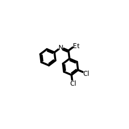 CCC(=Nc1ccccc1)c1ccc(Cl)c(Cl)c1